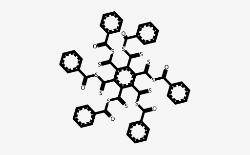 O=C(SC(=S)c1c(C(=S)SC(=O)c2ccccc2)c(C(=S)SC(=O)c2ccccc2)c(C(=S)SC(=O)c2ccccc2)c(C(=S)SC(=O)c2ccccc2)c1C(=S)SC(=O)c1ccccc1)c1ccccc1